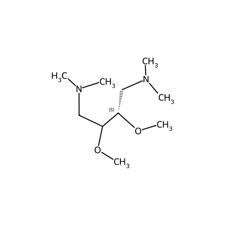 COC(CN(C)C)[C@H](CN(C)C)OC